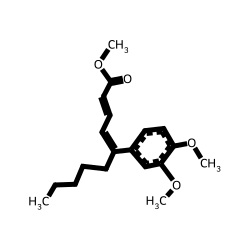 CCCCC/C(=C/C=C/C(=O)OC)c1ccc(OC)c(OC)c1